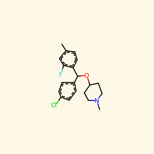 Cc1ccc(C(OC2CCN(C)CC2)c2ccc(Cl)cc2)c(F)c1